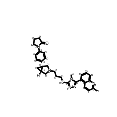 Cc1ccc2c(-c3nnc(SCCCN4C[C@@H]5C[C@@]5(c5ccc(N6CCCC6=O)cc5)C4)n3C)cccc2n1